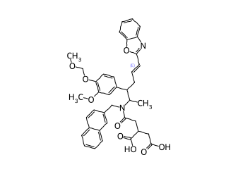 COCOc1ccc(C(C/C=C/c2nc3ccccc3o2)C(C)N(Cc2ccc3ccccc3c2)C(=O)CC(CC(=O)O)C(=O)O)cc1OC